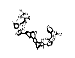 COC(=O)N[C@H](C(=O)N1[C@@H](C)CC[C@H]1c1nc2ccc3cc4c(cc3c2[nH]1)OCc1cc(-c2cnc([C@@H]3C[C@H](C)CN3C(=O)[C@@H](NC(=O)O)C(C)C)[nH]2)ccc1-4)C1CCOCC1